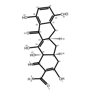 N=C1C(C(N)=O)=C(O)C[C@@H]2C[C@@H]3Cc4c(C=O)ccc(O)c4C(=O)C3=C(O)[C@]12O